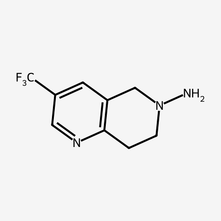 NN1CCc2ncc(C(F)(F)F)cc2C1